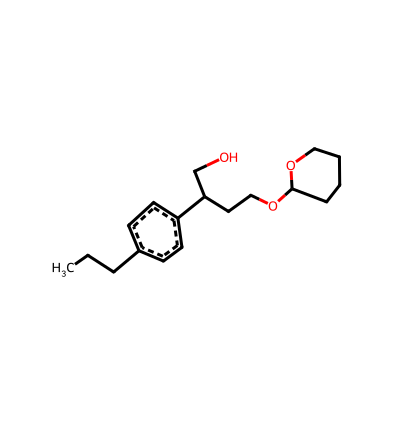 CCCc1ccc(C(CO)CCOC2CCCCO2)cc1